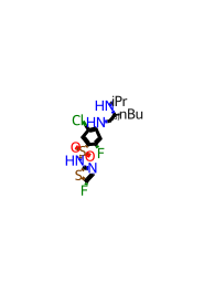 CCCC[C@@H](CNc1cc(F)c(S(=O)(=O)Nc2ncc(F)s2)cc1Cl)NC(C)C